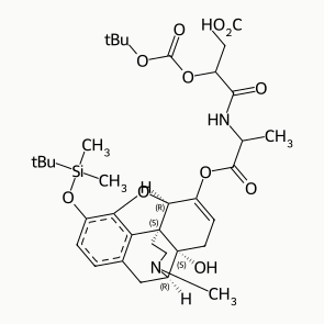 CC(NC(=O)C(CC(=O)O)OC(=O)OC(C)(C)C)C(=O)OC1=CC[C@@]2(O)[C@H]3Cc4ccc(O[Si](C)(C)C(C)(C)C)c5c4[C@@]2(CCN3C)[C@H]1O5